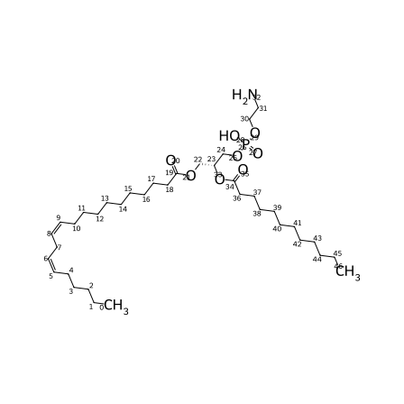 CCCCC/C=C\C/C=C\CCCCCCCCCC(=O)OC[C@H](COP(=O)(O)OCCN)OC(=O)CCCCCCCCCCC